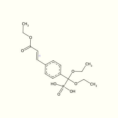 CCOC(=O)/C=C/c1ccc(C(OCC)(OCC)P(=O)(O)O)cc1